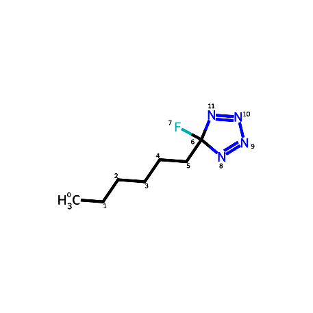 CCCCCCC1(F)N=NN=N1